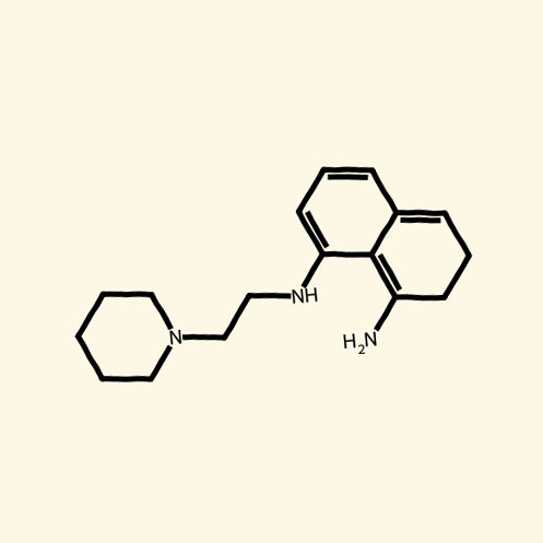 NC1=c2c(NCCN3CCCCC3)cccc2=CCC1